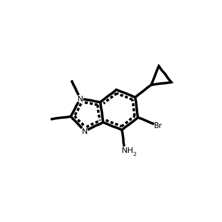 Cc1nc2c(N)c(Br)c(C3CC3)cc2n1C